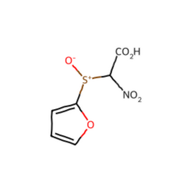 O=C(O)C([N+](=O)[O-])[S+]([O-])c1ccco1